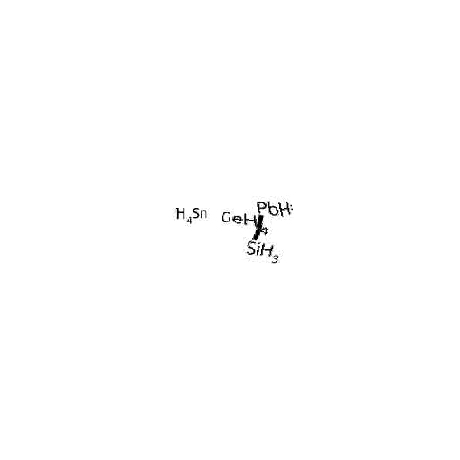 [GeH4].[SiH3][PbH].[SnH4]